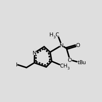 Cc1cc(CI)ncc1N(C)C(=O)OC(C)(C)C